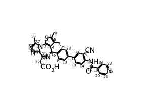 Cc1sc2c(c1C)C(c1ccc(-c3ccc(NC(=O)c4ccncc4)c(C#N)c3)cc1)=N[C@@H](CC(=O)O)c1nnc(C)n1-2